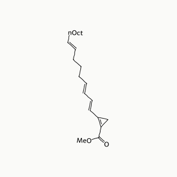 CCCCCCCCC=CCCCC=CC=CC1=C(C(=O)OC)C1